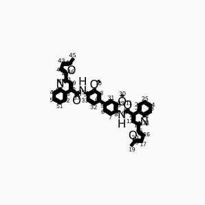 COc1cc(-c2ccc(NC(=O)c3cc(-c4ccc(C)o4)nc4ccccc34)c(OC)c2)ccc1NC(=O)c1cc(-c2ccc(C)o2)nc2ccccc12